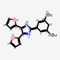 CC(C)(C)C1=CC(=C2N=C(c3ccco3)C(c3ccco3)=N2)C=C(C(C)(C)C)C1